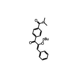 CCCCOC(=Cc1ccccc1)C(=O)c1ccc(C(=O)N(C)C)cc1